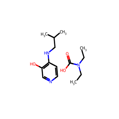 CC(C)CNc1ccncc1O.CCN(CC)C(=O)O